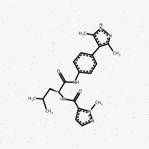 Cc1n[nH]c(C)c1-c1ccc(NC(=O)[C@H](CC(C)C)NC(=O)c2ccnn2C)cc1